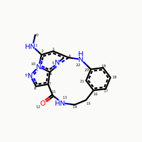 CNc1cc2nc3c(cnn13)C(=O)NCCc1cccc(c1)N2